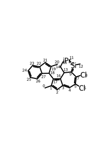 CC1=[C]C2=CC(Cl)=C(Cl)C(=[Si](C)C)C(CC(C)C)C2=C1C1C(C)=Cc2ccccc21